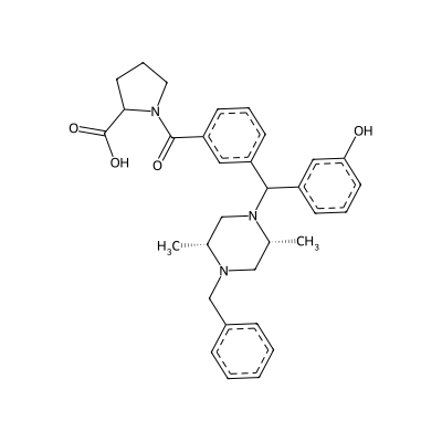 C[C@@H]1CN(C(c2cccc(O)c2)c2cccc(C(=O)N3CCCC3C(=O)O)c2)[C@H](C)CN1Cc1ccccc1